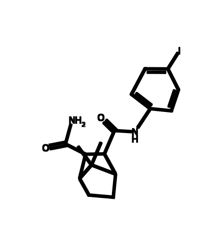 CC1(C)C2CCC1C(C(=O)Nc1ccc(I)cc1)C2C(N)=O